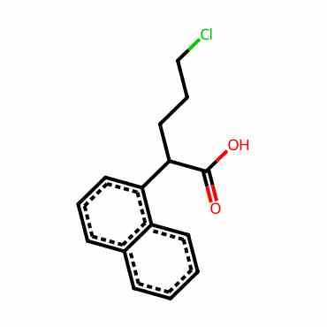 O=C(O)C(CCCCl)c1cccc2ccccc12